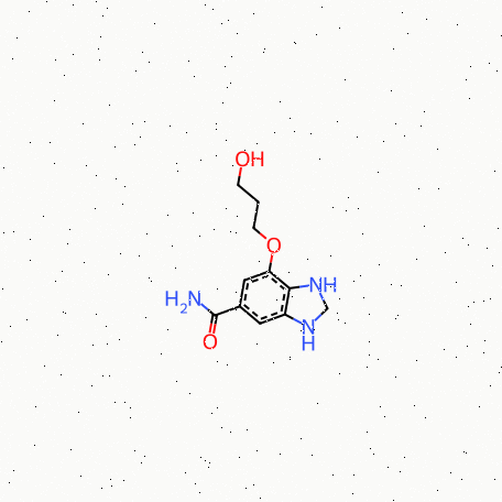 NC(=O)c1cc2c(c(OCCCO)c1)NCN2